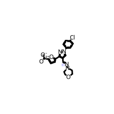 O=[N+]([O-])c1ccc(-c2nn(-c3ccc(Cl)cc3)cc2/C=N/N2CCOCC2)o1